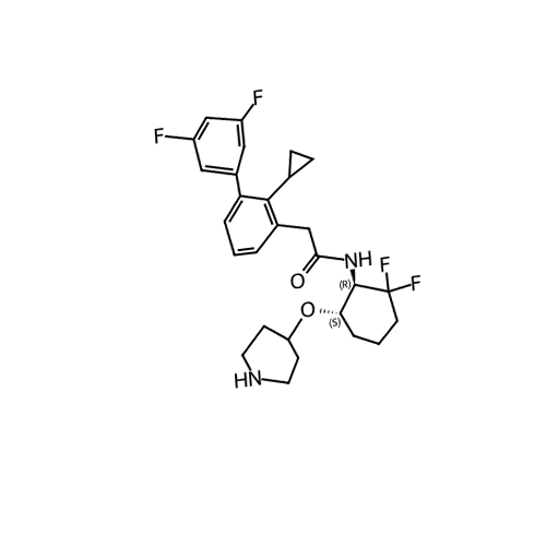 O=C(Cc1cccc(-c2cc(F)cc(F)c2)c1C1CC1)N[C@@H]1[C@@H](OC2CCNCC2)CCCC1(F)F